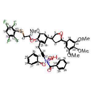 COc1cc(C2COC(c3cc(OC)c(OC)c(OC)c3)C2)cc(CC#C[N+](O)(Oc2ccccc2)C(=O)c2ccccc2)c1OCCSc1c(F)c(F)cc(F)c1F